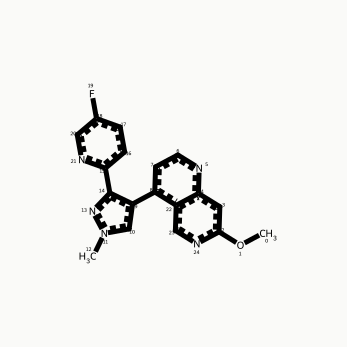 COc1cc2nccc(-c3cn(C)nc3-c3ccc(F)cn3)c2cn1